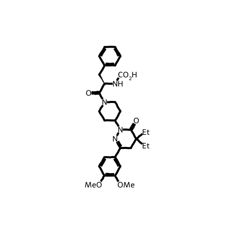 CCC1(CC)CC(c2ccc(OC)c(OC)c2)=NN(C2CCN(C(=O)[C@@H](Cc3ccccc3)NC(=O)O)CC2)C1=O